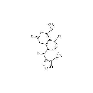 COC(=O)c1c(Cl)ccc(C(=O)c2cnoc2C2CC2)c1C[S+]=O